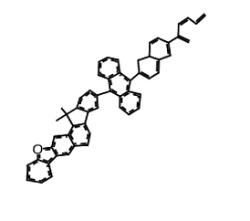 C=C/C=C\C(=C)C1=CC2=CC=C(c3c4ccccc4c(-c4ccc5c(c4)-c4ccc6cc7c(cc6c4C5(C)C)oc4ccccc47)c4ccccc34)CC2C=C1